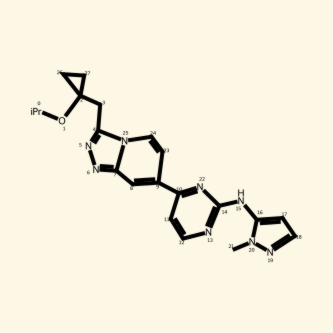 CC(C)OC1(Cc2nnc3cc(-c4ccnc(Nc5ccnn5C)n4)ccn23)CC1